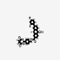 C[C@H]1c2cc(C(=O)NCc3ccc(C4=NC(=O)C(C)(C)C(=O)N4)cc3)ccc2[C@@H](O)c2ccc(-c3ccc(F)cc3F)cc21